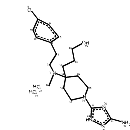 CN(CCc1ccc(Cl)cc1)C1(CCCO)CCN(c2nc(N)n[nH]2)CC1.Cl.Cl